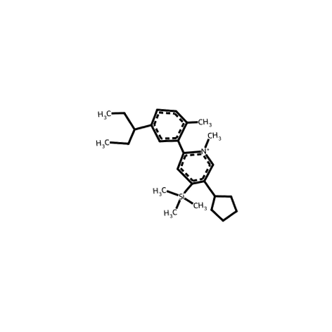 CCC(CC)c1ccc(C)c(-c2cc([Si](C)(C)C)c(C3CCCC3)c[n+]2C)c1